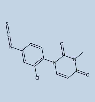 Cn1c(=O)ccn(-c2ccc(N=C=S)cc2Cl)c1=O